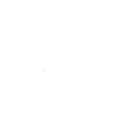 CCC1CC2[C]=CC1C2